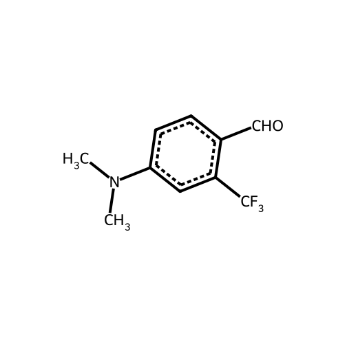 CN(C)c1ccc(C=O)c(C(F)(F)F)c1